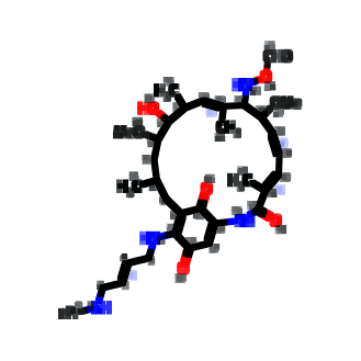 CCCNC/C=C/CNC1=C2CC(C)CC(OC)C(O)C(C)/C=C(\C)C(NOC=O)C(OC)/C=C\C=C(/C)C(=O)NC(=CC1=O)C2=O